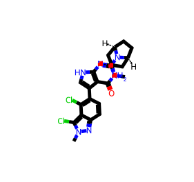 Cn1nc2ccc(-c3c[nH]c4nc(N5[C@@H]6CC[C@H]5C[C@@](C)(N)C6)n(C)c(=O)c34)c(Cl)c2c1Cl